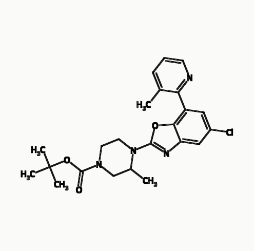 Cc1cccnc1-c1cc(Cl)cc2nc(N3CCN(C(=O)OC(C)(C)C)CC3C)oc12